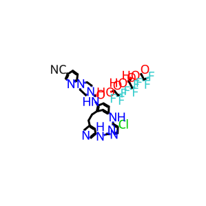 N#Cc1ccc(N2CCN(C(=O)Nc3ccc4cc3CCc3cncc(c3)Nc3ncc(Cl)c(n3)N4)CC2)nc1.O=C(O)C(F)(F)F.O=C(O)C(F)(F)F.O=C(O)C(F)(F)F